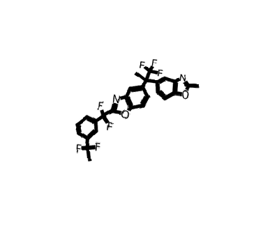 Cc1nc2cc(C(C)(c3ccc4oc(C(F)(F)c5cccc(C(C)(F)F)c5)nc4c3)C(F)(F)F)ccc2o1